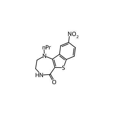 CCCN1CCNC(=O)c2sc3ccc([N+](=O)[O-])cc3c21